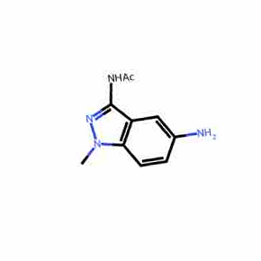 CC(=O)Nc1nn(C)c2ccc(N)cc12